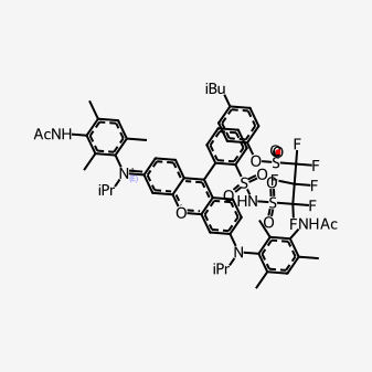 CCC(C)c1ccc(OS(=O)(=O)C(F)(F)C(F)(F)C(F)(F)S(=O)(=O)NS(=O)(=O)c2ccccc2-c2c3cc/c(=[N+](\c4c(C)cc(C)c(NC(C)=O)c4C)C(C)C)cc-3oc3cc(N(c4c(C)cc(C)c(NC(C)=O)c4C)C(C)C)ccc23)cc1